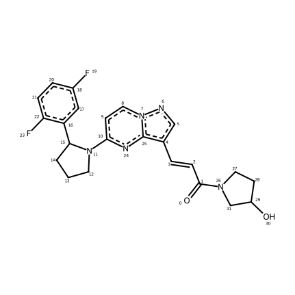 O=C(C=Cc1cnn2ccc(N3CCCC3c3cc(F)ccc3F)nc12)N1CCC(O)C1